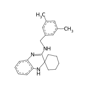 Cc1cc(C)cc(CNC2=Nc3ccccc3NC23CCCCC3)c1